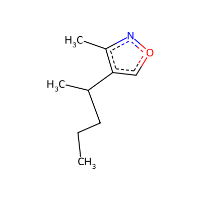 CCCC(C)c1conc1C